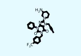 CC#CCn1c(N2CCCC(N)C2)nc2c1c(=O)n(Cc1ccc(C(F)(F)F)cc1)c(=O)n2-c1ccccc1